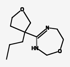 CCCC1(C2=NCCOCN2)CCOC1